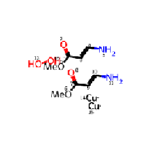 COC(=O)C=CN.COC(=O)C=CN.OO.[Cu].[Cu]